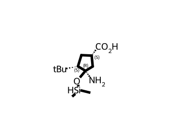 C[SiH](C)O[C@]1(N)C[C@@H](C(=O)O)C[C@H]1C(C)(C)C